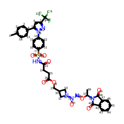 Cc1ccc(-c2cc(C(F)(F)F)nn2-c2ccc(S(=O)(=O)NC(=O)CCC(=O)OCC3CN([N+]([O-])=NOC(C)N4C(=O)c5ccccc5C4=O)C3)cc2)cc1